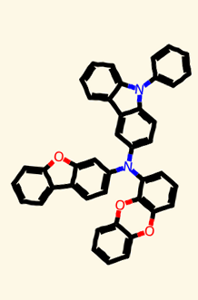 c1ccc(-n2c3ccccc3c3cc(N(c4ccc5c(c4)oc4ccccc45)c4cccc5c4Oc4ccccc4O5)ccc32)cc1